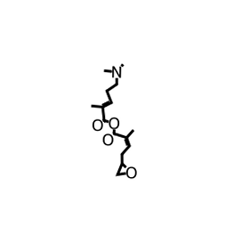 CC(=CCCN(C)C)C(=O)OC(=O)C(C)=CCC1CO1